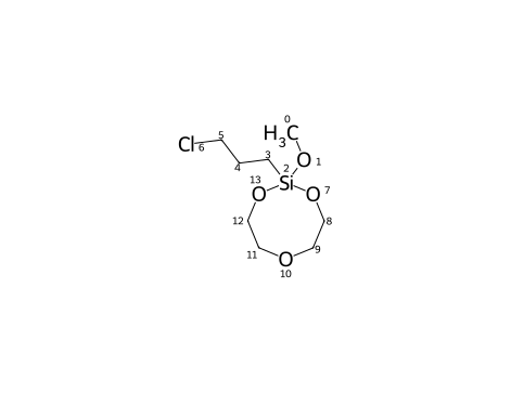 CO[Si]1(CCCCl)OCCOCCO1